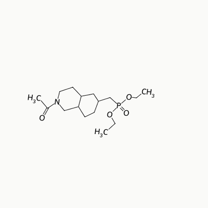 CCOP(=O)(CC1CCC2CN(C(C)=O)CCC2C1)OCC